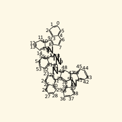 c1ccc2c(c1)ccc1c2c2ccccc2n1-c1nnc(-n2c3ccc4ccccc4c3c3c4c5ccccc5n5c6ccccc6c(cc32)c45)c2ccccc12